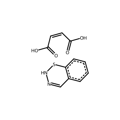 C1=NNSc2ccccc21.O=C(O)/C=C\C(=O)O